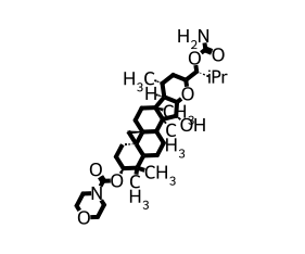 CC(C)[C@@H](OC(N)=O)C1C[C@@H](C)[C@H]2C(O1)[C@H](O)[C@@]1(C)C3CCC4C(C)(C)[C@@H](OC(=O)N5CCOCC5)CC[C@@]45C[C@@]35CC[C@]21C